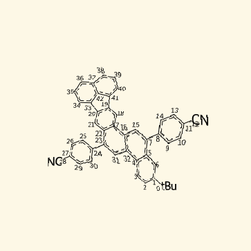 CC(C)(C)c1ccc2c(c1)c(-c1ccc(C#N)cc1)cc1c3cc4c(cc3c(-c3ccc(C#N)cc3)cc21)-c1cccc2cccc-4c12